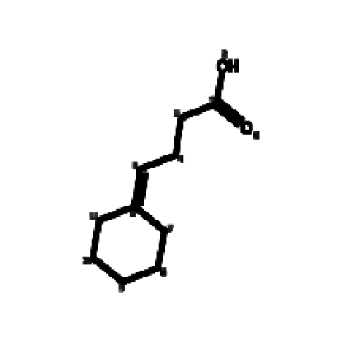 O=C(O)CCC=C1CCCCC1